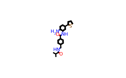 CC(C)C(=O)NCc1ccc(C(=O)Nc2cc(-c3cccs3)ccc2N)cc1